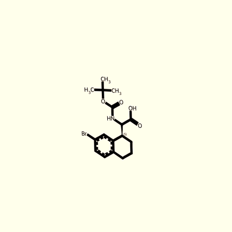 CC(C)(C)OC(=O)NC(C(=O)O)[C@H]1CCCc2ccc(Br)cc21